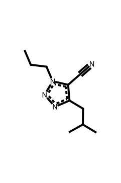 CCCn1nnc(CC(C)C)c1C#N